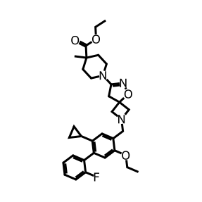 CCOC(=O)C1(C)CCN(C2=NOC3(C2)CN(Cc2cc(C4CC4)c(-c4ccccc4F)cc2OCC)C3)CC1